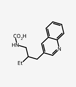 CCC(CNC(=O)O)Cc1cnc2ccccc2c1